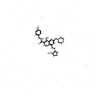 O=C(NCc1ccc(Cl)cc1)c1nnc2c(CC[C@H]3CCC[C@@H]3O)cc(CN3CCOCC3)cc2c1O